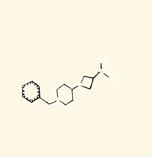 CN(C)C1CN(C2CCN(Cc3ccccc3)CC2)C1